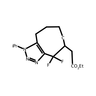 CCOC(=O)CC1CCCCc2c(nnn2C(C)C)C1(F)F